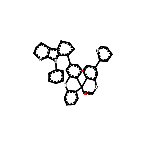 c1ccc(-n2c3ncccc3c3cccc(-c4ccc5c(c4)Oc4ccccc4C54c5ccccc5Oc5cc(-c6ccccn6)ccc54)c32)cc1